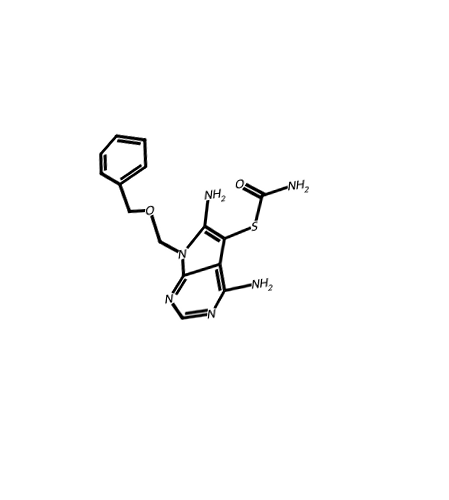 NC(=O)Sc1c(N)n(COCc2ccccc2)c2ncnc(N)c12